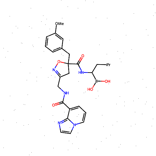 COc1cccc(CC2(C(=O)NC(CC(C)C)B(O)O)CC(CNC(=O)c3cccn4ccnc34)=NO2)c1